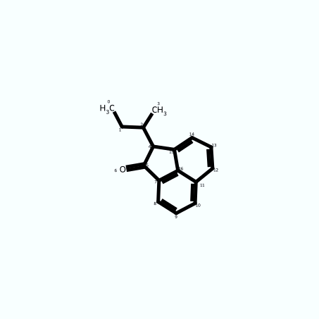 CCC(C)C1C(=O)c2cccc3cccc1c23